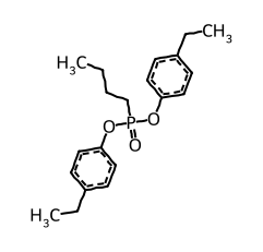 CCCCP(=O)(Oc1ccc(CC)cc1)Oc1ccc(CC)cc1